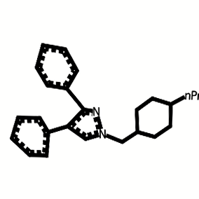 CCCC1CCC(Cn2cc(-c3ccccc3)c(-c3ccccc3)n2)CC1